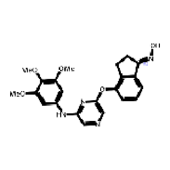 COc1cc(Nc2cncc(Oc3cccc4c3CC/C4=N\O)n2)cc(OC)c1OC